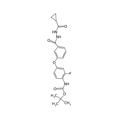 CC(C)(C)OC(=O)Nc1ccc(Oc2cccc(C(=O)NNC(=O)C3CC3)c2)cc1F